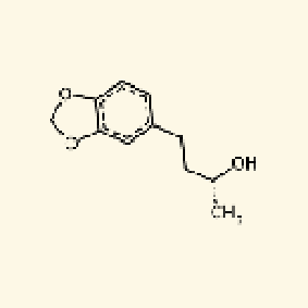 C[C@@H](O)CCc1ccc2c(c1)OCO2